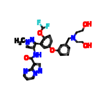 Cn1cc(NC(=O)c2cnn3cccnc23)c(-c2cc(Oc3cccc(CN(CCO)CCO)c3)ccc2OC(F)F)n1